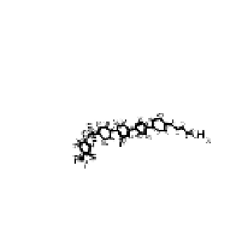 CCCCCC1CCC(c2ccc(-c3ccc(C4CCC(C(F)(F)Oc5ccc(C(F)F)c(F)c5)CC4)c(F)c3)cc2)CC1